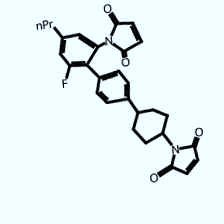 CCCc1cc(F)c(-c2ccc(C3CCC(N4C(=O)C=CC4=O)CC3)cc2)c(N2C(=O)C=CC2=O)c1